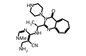 CN/C=N\C(N[C@@H](C)c1nc2c(c(=O)n1N1CCNCC1)=CCC=CC=2)=C(\C#N)CN